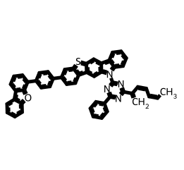 C=C(/C=C\C=C/C)c1nc(-c2ccccc2)nc(-n2c3ccccc3c3cc4sc5cc(-c6ccc(-c7cccc8c7oc7ccccc78)cc6)ccc5c4cc32)n1